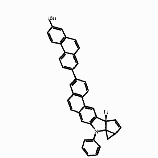 CC(C)(C)c1ccc2c(ccc3cc(-c4ccc5c(ccc6cc7c(cc65)[C@@H]5C=CC6CC65N7c5ccccc5)c4)ccc32)c1